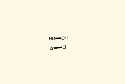 OO.[Cl][Zr]